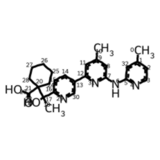 Cc1ccnc(Nc2cc(C)cc(-c3ccc(C(C)(O)C4(C(=O)O)CCCCC4)nc3)n2)c1